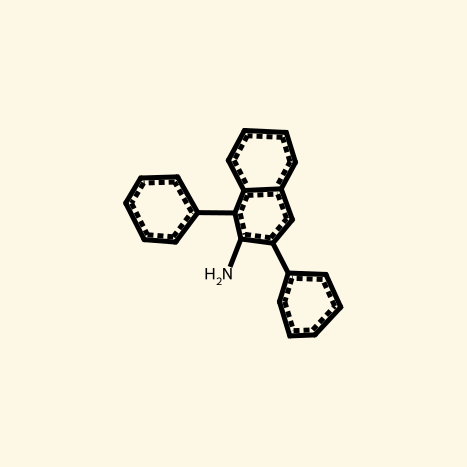 Nc1c(-c2ccccc2)cc2ccccc2c1-c1ccccc1